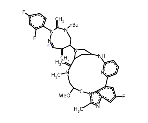 C=C1/C=N\N(c2ccc(F)cc2F)C(=C)N(CCCC)CC1N1CC2CC1C(=C)N(C)CC(OC)Cn1c(C)nc3cc(F)cc(c31)-c1cccc(n1)N2